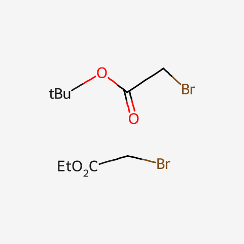 CC(C)(C)OC(=O)CBr.CCOC(=O)CBr